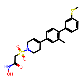 CSc1cccc(-c2ccc(C3=CCN(S(=O)(=O)CC(=O)NO)CC3)cc2C)c1